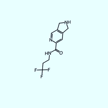 O=C(NCCC(F)(F)F)c1cc2c(cn1)CNC2